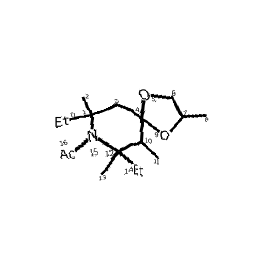 CCC1(C)CC2(OCC(C)O2)C(C)C(C)(CC)N1C(C)=O